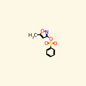 Cc1cc(OS(=O)(=O)c2ccccc2)no1